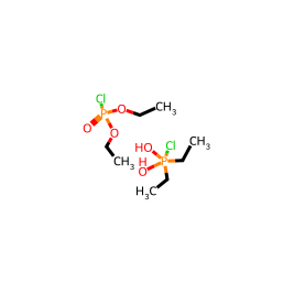 CCOP(=O)(Cl)OCC.CCP(O)(O)(Cl)CC